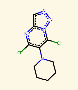 Clc1nc2cnnn2c(Cl)c1N1CCCCC1